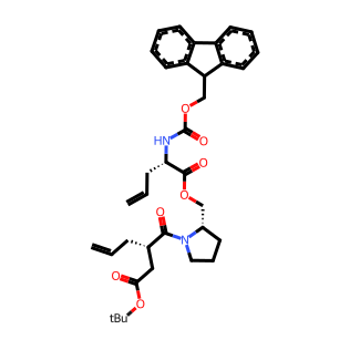 C=CC[C@@H](CC(=O)OC(C)(C)C)C(=O)N1CCC[C@H]1COC(=O)[C@H](CC=C)NC(=O)OCC1c2ccccc2-c2ccccc21